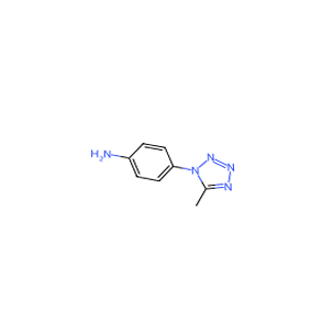 Cc1nnnn1-c1ccc(N)cc1